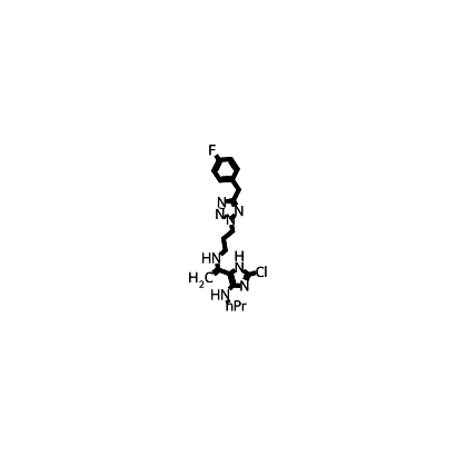 C=C(NCCCn1nnc(Cc2ccc(F)cc2)n1)c1[nH]c(Cl)nc1NCCC